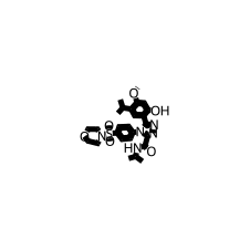 COc1cc(O)c(-c2nnc(C(=O)NC(C)C)n2-c2ccc(S(=O)(=O)N3CCOCC3)cc2)cc1C(C)C